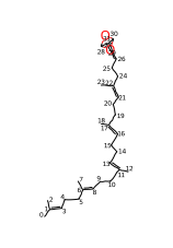 CC(C)=CCC/C(C)=C/CC/C(C)=C/CC/C=C(\C)CC/C=C(\C)CCC=C1C2OC1O2